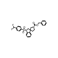 O=C(OCc1ccccc1)N1CCC2(C1)CN(S(=O)(=O)c1ccc(C(F)F)cc1)c1ccccc12